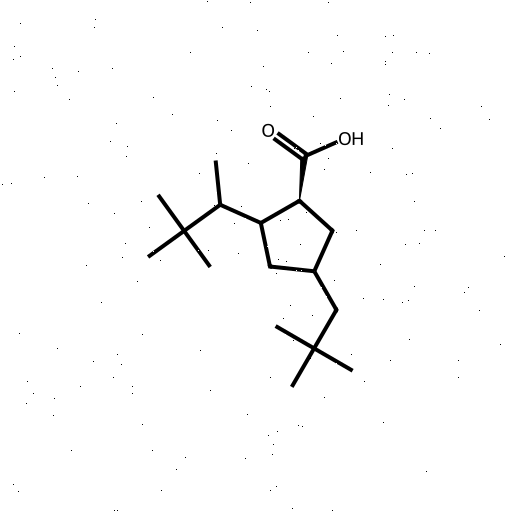 CC(C1CC(CC(C)(C)C)C[C@@H]1C(=O)O)C(C)(C)C